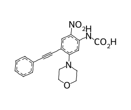 O=C(O)Nc1cc(N2CCOCC2)c(C#Cc2ccccc2)cc1[N+](=O)[O-]